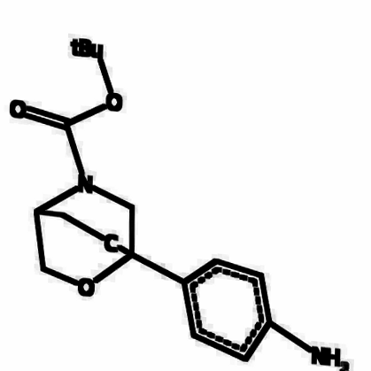 CC(C)(C)OC(=O)N1CC2(c3ccc(N)cc3)CCC1CO2